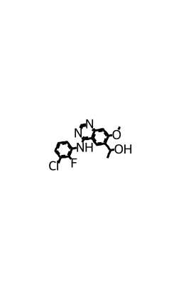 COc1cc2ncnc(Nc3cccc(Cl)c3F)c2cc1C(C)O